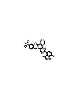 Cc1c[nH]c2c(F)ccc(-c3ncc4c(n3)N3CCOCC3C(=O)N4Cc3ccc(S(C)(=O)=O)cc3)c12